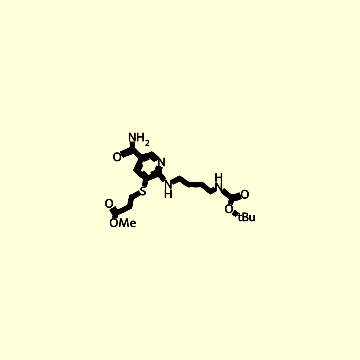 COC(=O)CCSc1cc(C(N)=O)cnc1NCCCCNC(=O)OC(C)(C)C